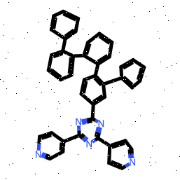 c1ccc(-c2ccccc2-c2ccccc2-c2ccc(-c3nc(-c4ccncc4)nc(-c4ccncc4)n3)cc2-c2ccccc2)cc1